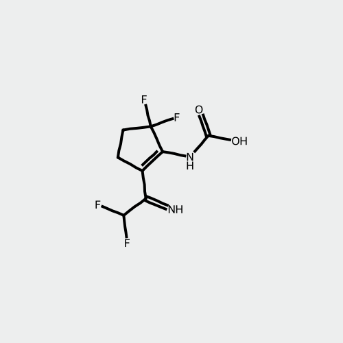 N=C(C1=C(NC(=O)O)C(F)(F)CC1)C(F)F